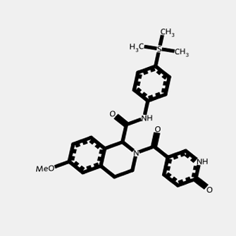 COc1ccc2c(c1)CCN(C(=O)c1ccc(=O)[nH]c1)C2C(=O)Nc1ccc(S(C)(C)C)cc1